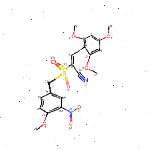 COc1cc(OC)c(C=C(C#N)S(=O)(=O)Cc2ccc(OC)c([N+](=O)[O-])c2)c(OC)c1